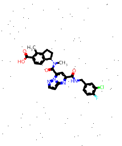 Cc1c(C(=O)O)ccc2c1CC[C@@H]2N(C)C(=O)c1cc(C(=O)NCc2ccc(F)c(Cl)c2)nc2ccnn12